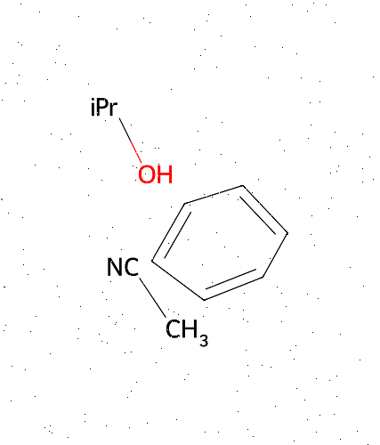 CC#N.CC(C)O.c1ccccc1